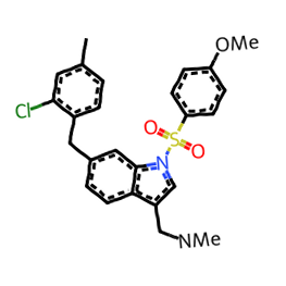 CNCc1cn(S(=O)(=O)c2ccc(OC)cc2)c2cc(Cc3ccc(C)cc3Cl)ccc12